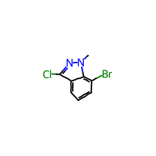 Cn1nc(Cl)c2cccc(Br)c21